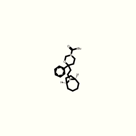 CC(C)(C)C(=O)N1CCC(CCN2[C@@H]3CCCC[C@H]2CC3)(c2ccccc2)OC1